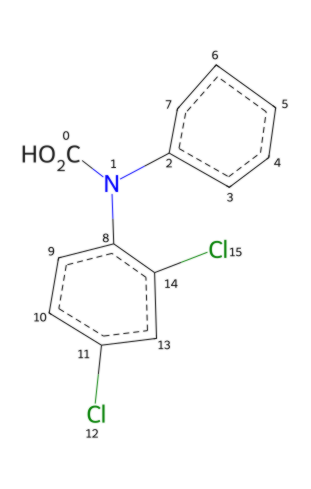 O=C(O)N(c1ccccc1)c1ccc(Cl)cc1Cl